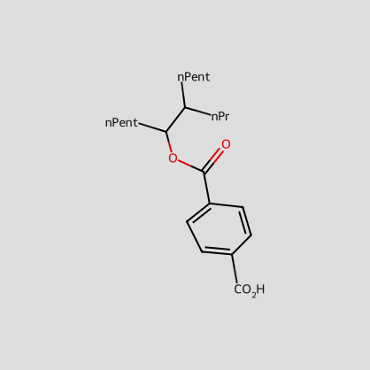 CCCCCC(CCC)C(CCCCC)OC(=O)c1ccc(C(=O)O)cc1